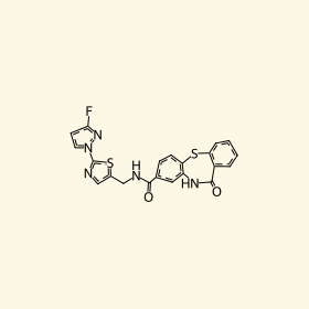 O=C(NCc1cnc(-n2ccc(F)n2)s1)c1ccc2c(c1)NC(=O)c1ccccc1S2